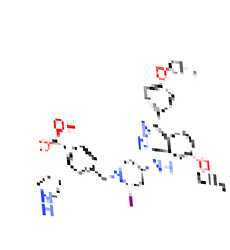 C1CCNC1.COc1ccc(-c2nnc(NC3CCN(Cc4ccc(C(=O)O)cc4)C(I)C3)c3cc(OC)ccc23)cc1